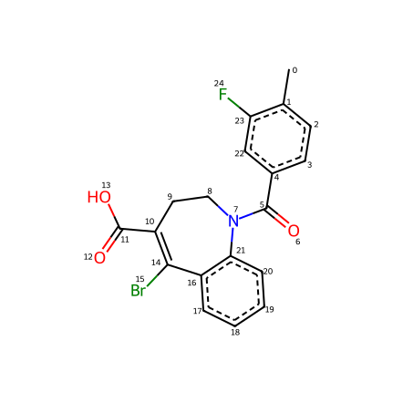 Cc1ccc(C(=O)N2CCC(C(=O)O)=C(Br)c3ccccc32)cc1F